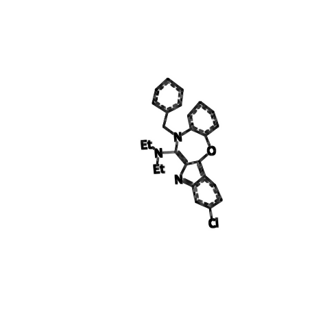 CCN(CC)C1=C2N=c3cc(Cl)ccc3=C2Oc2ccccc2N1Cc1ccccc1